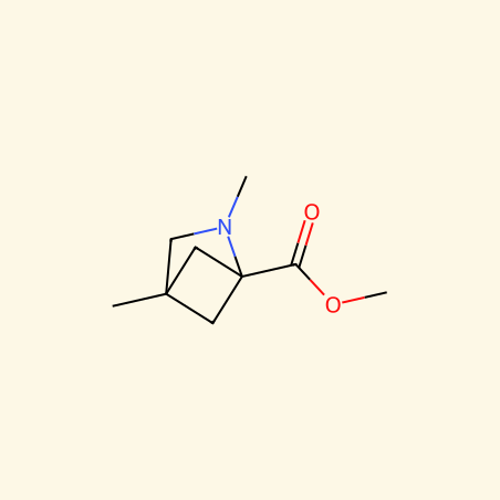 COC(=O)C12CC(C)(CN1C)C2